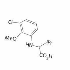 COc1c(Cl)cccc1NC(C(=O)O)C(C)C